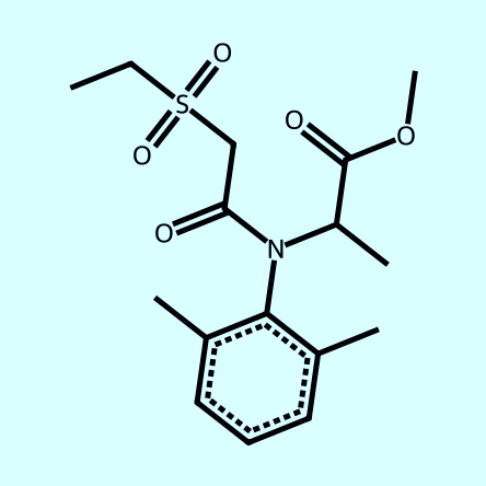 CCS(=O)(=O)CC(=O)N(c1c(C)cccc1C)C(C)C(=O)OC